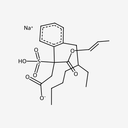 CC=COC(=O)C(CC(=O)[O-])(c1ccccc1CC(CC)CCCC)S(=O)(=O)O.[Na+]